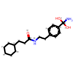 NC(O)(O)c1ccc(CCNC(=O)CCC2CCCCC2)cc1